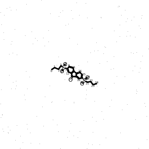 CCCCS(=O)(=O)c1ccc2c(c1)C(=O)c1cc(S(=O)(=O)CCCC)ccc1-2